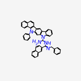 NC(N/C(=N\Cc1ccccc1)c1ccc2ccccc2c1)n1c2ccccc2c2cc3c4ccc5ccccc5c4n(-c4ccccc4)c3cc21